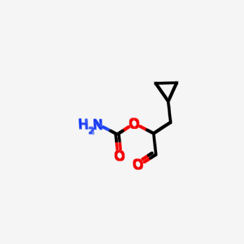 NC(=O)OC(C=O)CC1CC1